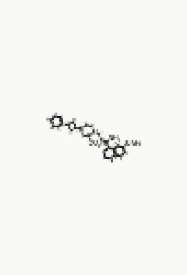 COc1ccc2nccc(C(N)CC[C@@H]3CCN(C4CC(c5ccccc5)C4)C[C@@H]3C(=O)O)c2c1